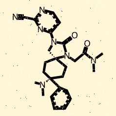 CN(C)C(=O)CN1C(=O)N(c2ccnc(C#N)n2)C[C@]12CC[C@@](c1ccccc1)(N(C)C)CC2